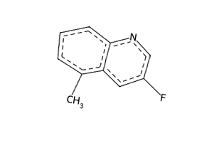 Cc1cccc2ncc(F)cc12